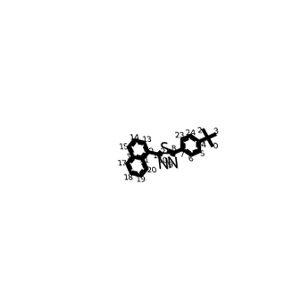 CC(C)(C)c1ccc(-c2nnc(-c3cccc4ccccc34)s2)cc1